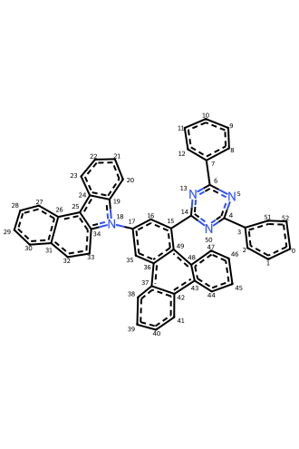 c1ccc(-c2nc(-c3ccccc3)nc(-c3cc(-n4c5ccccc5c5c6ccccc6ccc54)cc4c5ccccc5c5ccccc5c34)n2)cc1